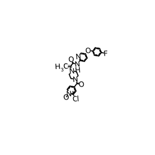 C[C@@H](C(=O)Nc1ccc(Oc2ccc(F)cc2)cn1)N1CCN(C(=O)c2cc[n+]([O-])c(Cl)c2)CC1